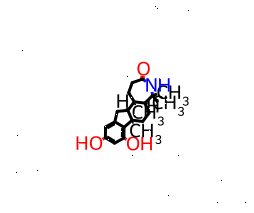 CC1(C)NC(=O)CC[C@]2(C)[C@H]3Cc4cc(O)cc(O)c4[C@]3(C)CC[C@@H]12